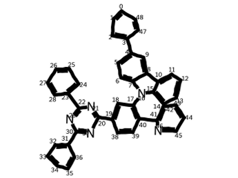 c1ccc(-c2ccc3c(c2)c2ccccc2n3-c2cc(-c3nc(-c4ccccc4)nc(-c4ccccc4)n3)ccc2-c2ccccn2)cc1